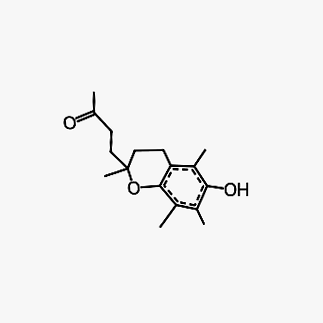 CC(=O)CCC1(C)CCc2c(C)c(O)c(C)c(C)c2O1